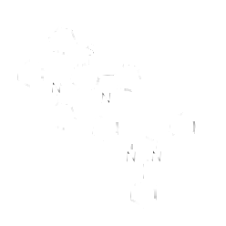 c1ccc(-c2cc(-c3cccc(-n4c5ccccc5c5c6sc7ccccc7c6c6c(c7ccccc7n6-c6ccccc6)c54)c3)nc(-c3ccccc3)n2)cc1